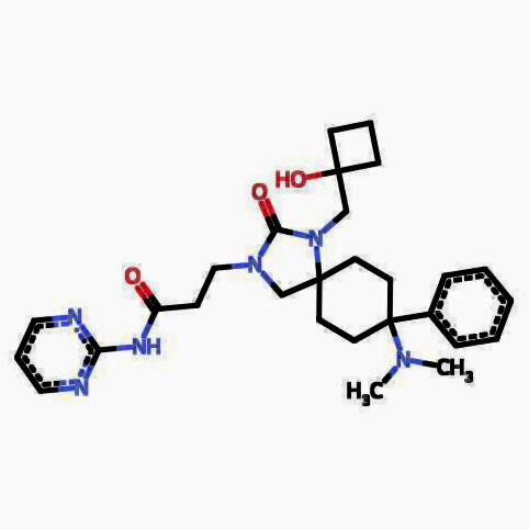 CN(C)C1(c2ccccc2)CCC2(CC1)CN(CCC(=O)Nc1ncccn1)C(=O)N2CC1(O)CCC1